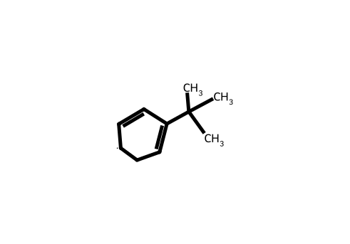 CC(C)(C)C1=CC[CH]C=C1